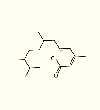 CC(C=CCC(C)CCC(C)C(C)C)=CC(=O)Cl